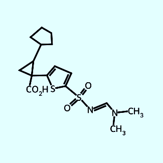 CN(C)C=NS(=O)(=O)c1ccc(C2(C(=O)O)CC2C2CCCC2)s1